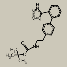 CC(C)(C)OC(=O)NCCc1ccc(-c2ccccc2-c2nnn[nH]2)cc1